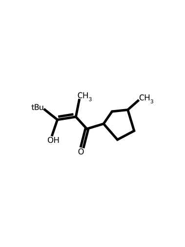 C/C(C(=O)C1CCC(C)C1)=C(/O)C(C)(C)C